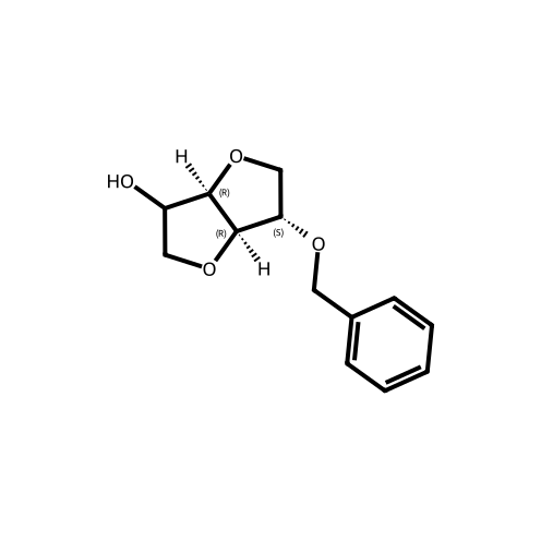 OC1CO[C@@H]2[C@@H](OCc3ccccc3)CO[C@H]12